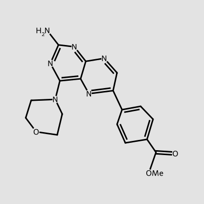 COC(=O)c1ccc(-c2cnc3nc(N)nc(N4CCOCC4)c3n2)cc1